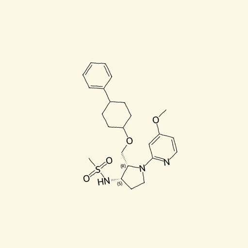 COc1ccnc(N2CC[C@H](NS(C)(=O)=O)[C@@H]2COC2CCC(c3ccccc3)CC2)c1